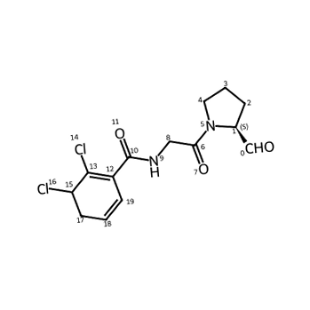 O=C[C@@H]1CCCN1C(=O)CNC(=O)C1=C(Cl)C(Cl)CC=C1